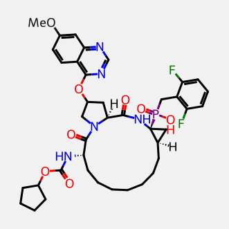 COc1ccc2c(OC3C[C@H]4C(=O)N[C@]5(P(=O)(O)Cc6c(F)cccc6F)C[C@H]5CCCCCCC[C@H](NC(=O)OC5CCCC5)C(=O)N4C3)ncnc2c1